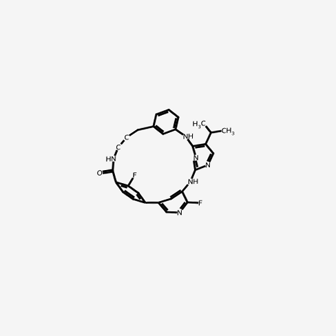 CC(C)c1cnc2nc1Nc1cccc(c1)CCCNC(=O)c1ccc(cc1F)-c1cnc(F)c(c1)N2